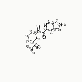 CN1Cc2cnc(C(=O)NC3[CH]CCC(C(=O)N(C)C)C3)cc2C1